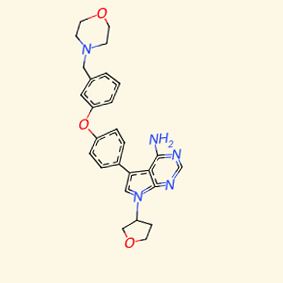 Nc1ncnc2c1c(-c1ccc(Oc3cccc(CN4CCOCC4)c3)cc1)cn2C1CCOC1